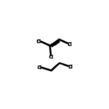 ClC=C(Cl)Cl.ClCCCl